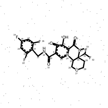 CN1C(=O)c2c(O)c(=O)c(C(=O)NCc3c(F)cc(F)cc3F)cn2C2COCC[C@]21C(F)F